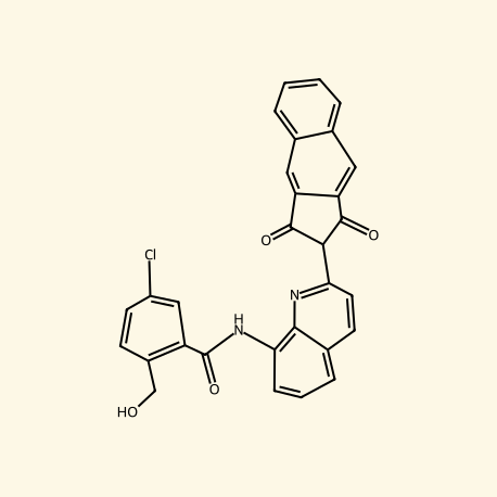 O=C(Nc1cccc2ccc(C3C(=O)c4cc5ccccc5cc4C3=O)nc12)c1cc(Cl)ccc1CO